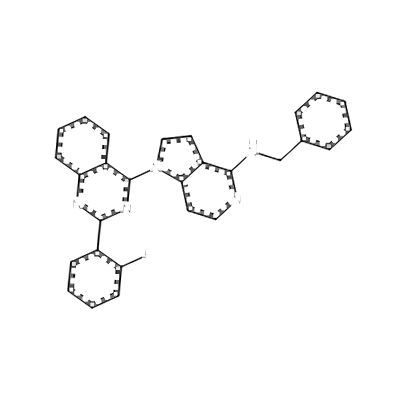 Fc1ccccc1-c1nc(-n2ccc3c(NCc4ccccc4)nccc32)c2ccccc2n1